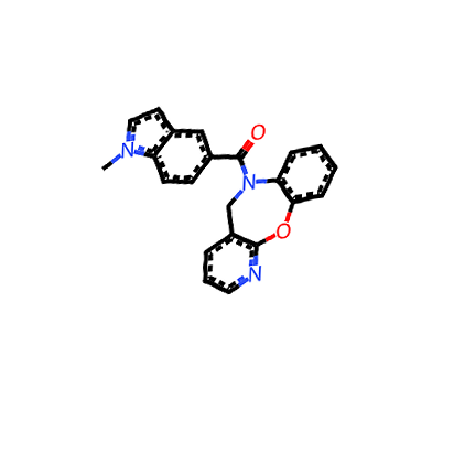 Cn1ccc2cc(C(=O)N3Cc4cccnc4Oc4ccccc43)ccc21